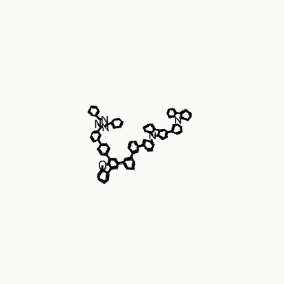 c1ccc(-c2nc(-c3ccccc3)nc(-c3cccc(-c4ccc(-c5cc(-c6cccc(-c7cccc(-c8cccc(-n9c%10ccccc%10c%10cc(-c%11cccc(-n%12c%13ccccc%13c%13ccccc%13%12)c%11)ccc%109)c8)c7)c6)cc6c5oc5ccccc56)cc4)c3)n2)cc1